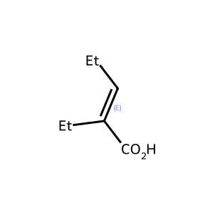 CC/C=C(\CC)C(=O)O